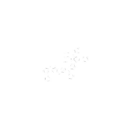 CCCCCCCC1(CCCCCCC)c2cc(N(c3ccc4c(c3)C(C)(C)c3cc5c(cc3-4)C(C)(C)c3ccc4oc6ccccc6c4c3-5)c3c(C)cc(C)cc3C)ccc2-c2c1c1c(c3c2oc2ccccc23)-c2ccccc2C1(CCCCCCC)CCCCCCC